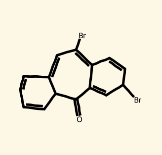 O=C1C2=CC(Br)C=CC2=C(Br)C=C2C=CC=CC12